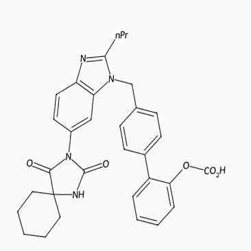 CCCc1nc2ccc(N3C(=O)NC4(CCCCC4)C3=O)cc2n1Cc1ccc(-c2ccccc2OC(=O)O)cc1